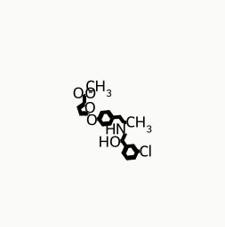 COC(=O)c1ccc(Oc2ccc(CC(C)NCC(O)c3cccc(Cl)c3)cc2)o1